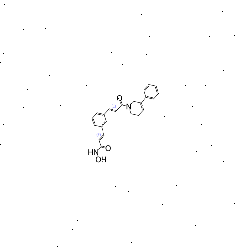 O=C(/C=C/c1cccc(/C=C/C(=O)N2CCC=C(c3ccccc3)C2)c1)NO